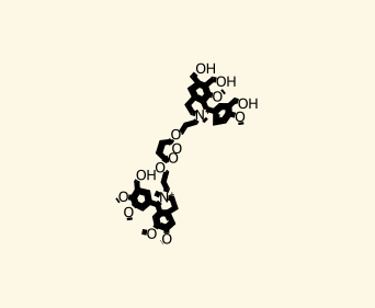 COc1ccc(C2c3c(cc(CO)c(CO)c3OC)CC[N+]2(C)CCCOC(=O)/C=C\C(=O)OCCC[N+]2(C)CCc3cc(OC)c(OC)cc3C2c2cc(CO)c(OC)c(OC)c2)cc1CO